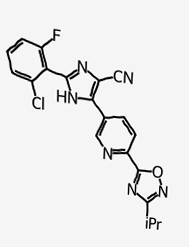 CC(C)c1noc(-c2ccc(-c3[nH]c(-c4c(F)cccc4Cl)nc3C#N)cn2)n1